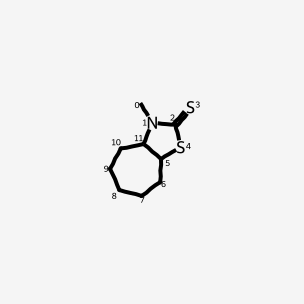 CN1C(=S)SC2CCCCCC21